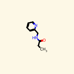 C[CH]C(=O)NCc1ccccn1